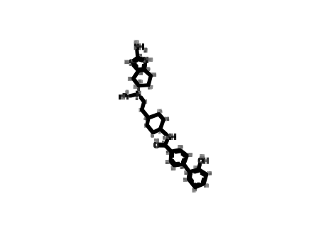 CCCN(CCC1CCC(NC(=O)c2ccc(-c3ccccc3O)cc2)CC1)[C@H]1CCc2nc(N)sc2C1